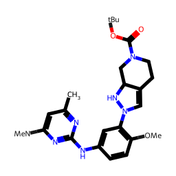 CNc1cc(C)nc(Nc2ccc(OC)c(N3C=C4CCN(C(=O)OC(C)(C)C)CC4N3)c2)n1